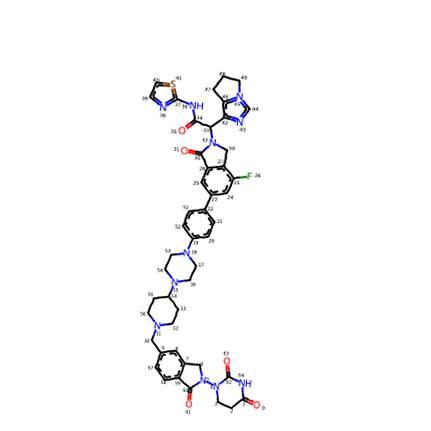 O=C1CCN(N2Cc3cc(CN4CCC(N5CCN(c6ccc(-c7cc(F)c8c(c7)C(=O)N(C(C(=O)Nc7nccs7)c7ncn9c7CCC9)C8)cc6)CC5)CC4)ccc3C2=O)C(=O)N1